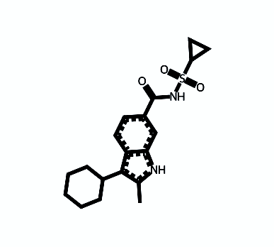 Cc1[nH]c2cc(C(=O)NS(=O)(=O)C3CC3)ccc2c1C1CCCCC1